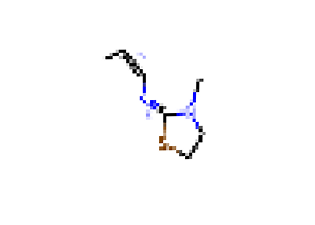 C/C=C\N=C1\SCCN1C